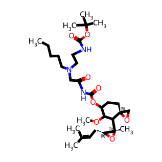 CCCCCN(CCNC(=O)OC(C)(C)C)CC(=O)NC(=O)OC1CC[C@]2(CO2)C([C@@]2(C)O[C@@H]2CC=C(C)C)C1OC